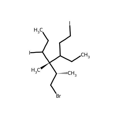 CCC(I)[C@](C)(C(CC)CCI)[C@H](C)CBr